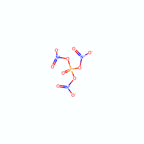 O=[N+]([O-])OP(=O)(O[N+](=O)[O-])O[N+](=O)[O-]